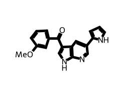 COc1cccc(C(=O)c2c[nH]c3ncc(-c4ccc[nH]4)cc23)c1